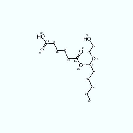 CCCCCC(OCCO)OC(=O)CCCCC(=O)O